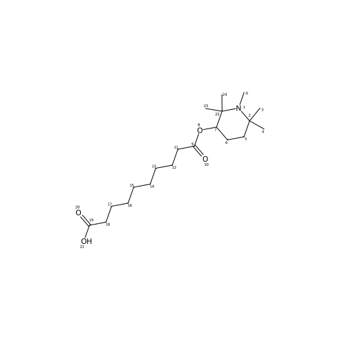 CN1C(C)(C)CCC(OC(=O)CCCCCCCCC(=O)O)C1(C)C